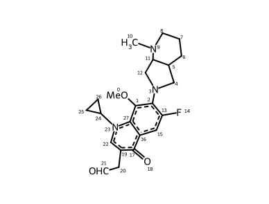 COc1c(N2CC3CCCN(C)C3C2)c(F)cc2c(=O)c(CC=O)cn(C3CC3)c12